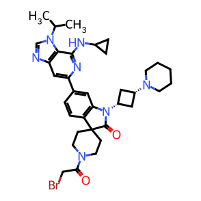 CC(C)n1cnc2cc(-c3ccc4c(c3)N([C@H]3C[C@@H](N5CCCCC5)C3)C(=O)C43CCN(C(=O)CBr)CC3)nc(NC3CC3)c21